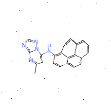 Cc1cc(Nc2ccc3ccc4cccc5ccc2c3c45)n2ncnc2n1